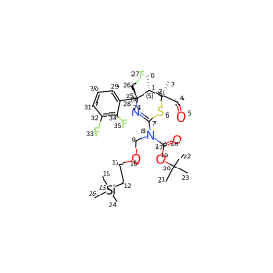 C[C@@H]1[C@@](C)(C=O)SC(N(COCC[Si](C)(C)C)C(=O)OC(C)(C)C)=N[C@]1(CF)c1cccc(F)c1F